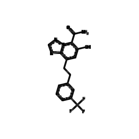 NC(=O)c1c(O)cc(CCc2cccc(C(F)(F)F)c2)c2ncnn12